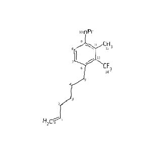 C=CCCCCc1ccc(CCC)c(C)c1C(F)(F)F